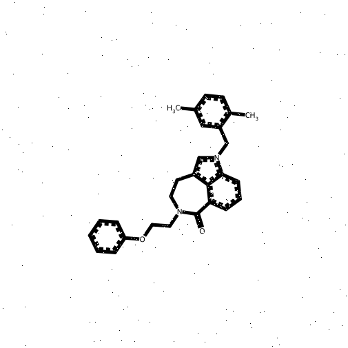 Cc1ccc(C)c(Cn2cc3c4c(cccc42)C(=O)N(CCOc2ccccc2)CC3)c1